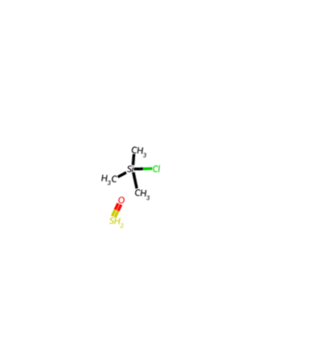 C[Si](C)(C)Cl.O=[SH2]